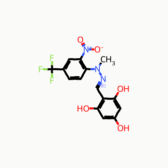 CN(/N=C/c1c(O)cc(O)cc1O)c1ccc(C(F)(F)F)cc1[N+](=O)[O-]